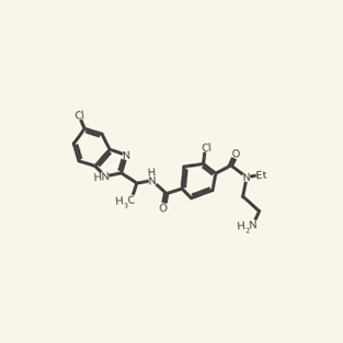 CCN(CCN)C(=O)c1ccc(C(=O)NC(C)c2nc3cc(Cl)ccc3[nH]2)cc1Cl